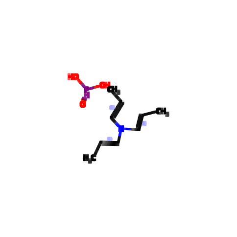 C/C=C/N(/C=C/C)/C=C/C.O=[PH](O)O